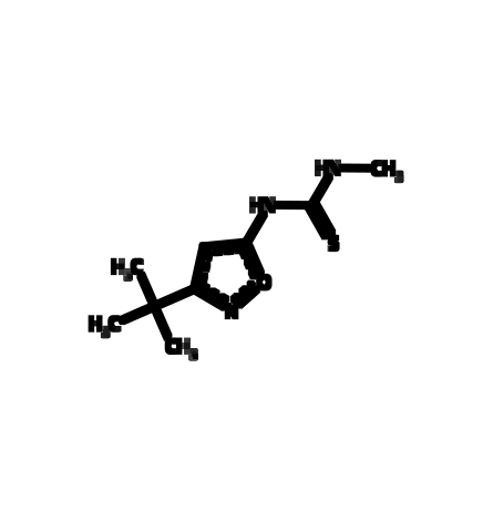 CNC(=S)Nc1cc(C(C)(C)C)no1